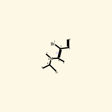 C=C/C(Br)=C(\C)N(C)C(C)C